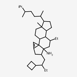 CCC(CC1CC2=CC23C2CCC4(C)C(C(C)CCC(C)C(C)C)CCC4C2C(CC)CC13N)C1CCC1